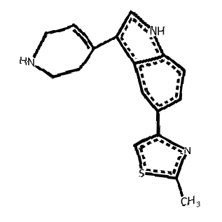 Cc1nc(-c2ccc3[nH]cc(C4=CCNCC4)c3c2)cs1